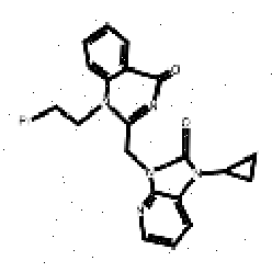 CC(C)CCn1c(Cn2c(=O)n(C3CC3)c3cccnc32)nc(=O)c2ccccc21